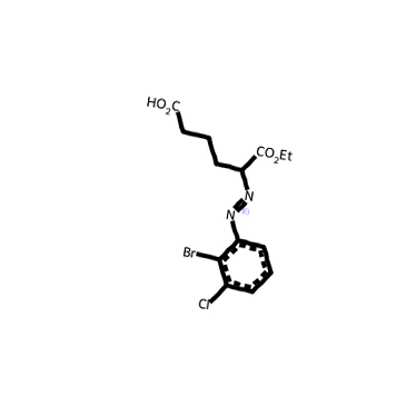 CCOC(=O)C(CCCC(=O)O)/N=N/c1cccc(Cl)c1Br